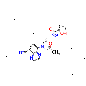 C[C@@H]1CN(c2ccc(C#N)c3nccnc23)C[C@H](CNC(=O)[C@H](C)O)O1